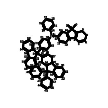 CC1(C)C2=C(C=CCC2)c2ccc(N(c3ccccc3)c3ccc(C4(C5=CCC6c7ccccc7C(c7ccccc7)(c7ccccc7)C6C5)c5ccccc5-c5ccccc54)cc3)cc21